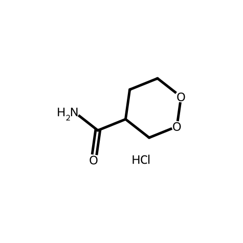 Cl.NC(=O)C1CCOOC1